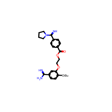 CC(C)COc1ccc(C(=N)N)cc1OCCOC(=O)c1ccc(C(=N)N2CCCC2)cc1